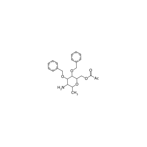 CC(=O)C(=O)OCC1OC(C)C(N)C(OCc2ccccc2)C1OCc1ccccc1